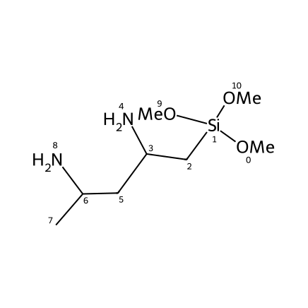 CO[Si](CC(N)CC(C)N)(OC)OC